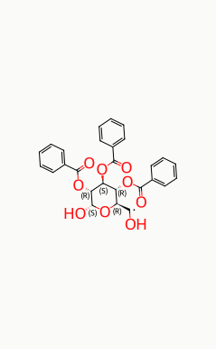 O=C(O[C@@H]1[C@@H](OC(=O)c2ccccc2)[C@@H](O)O[C@H]([CH]O)[C@H]1OC(=O)c1ccccc1)c1ccccc1